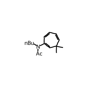 CCCCN(C(C)=O)C1=CC(C)(C)C=CC=C1